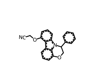 N#CCOc1cccc2c1c1cccc3c1n2C(c1ccccc1)CO3